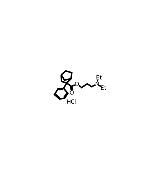 CCN(CC)CCCOC(=O)C1(c2ccccc2)CC2CCC1C2.Cl